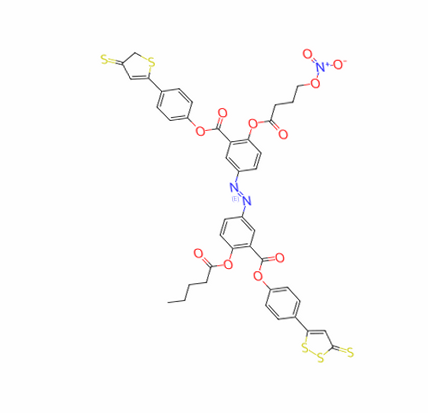 CCCCC(=O)Oc1ccc(/N=N/c2ccc(OC(=O)CCCO[N+](=O)[O-])c(C(=O)Oc3ccc(C4=CC(=S)CS4)cc3)c2)cc1C(=O)Oc1ccc(-c2cc(=S)ss2)cc1